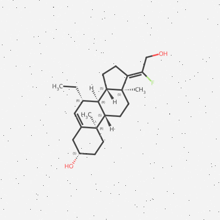 CC[C@H]1C=C2C[C@@H](O)CC[C@]2(C)[C@H]2CC[C@]3(C)C(=C(F)CO)CC[C@H]3[C@H]12